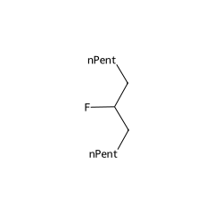 CCCCCCC(F)CCCCCC